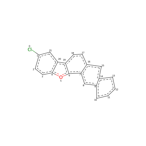 Clc1ccc2oc3c4cc5ccccc5cc4ccc3c2c1